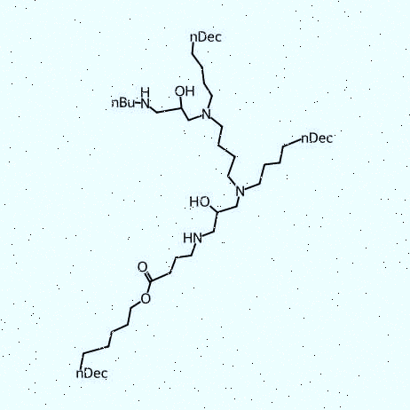 CCCCCCCCCCCCCCCOC(=O)CCCNCC(O)CN(CCCCCCCCCCCCCC)CCCCN(CCCCCCCCCCCCCC)CC(O)CNCCCC